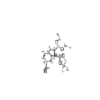 CCOC(OCC)c1cc2ccc(C#N)cc2n1C(=O)OC(C)(C)C